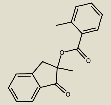 Cc1ccccc1C(=O)OC1(C)Cc2ccccc2C1=O